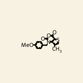 COc1ccc(Cn2c(=O)oc(=O)c3scc(C)c32)cc1